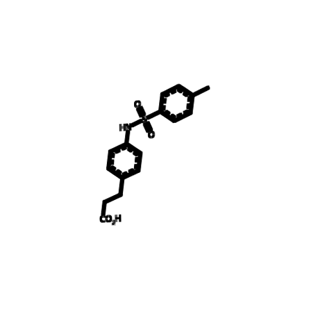 Cc1ccc(S(=O)(=O)Nc2ccc(CCC(=O)O)cc2)cc1